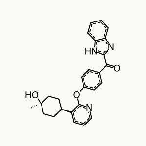 C[C@]1(O)CC[C@@H](c2cccnc2Oc2ccc(C(=O)c3nc4ccccc4[nH]3)cc2)CC1